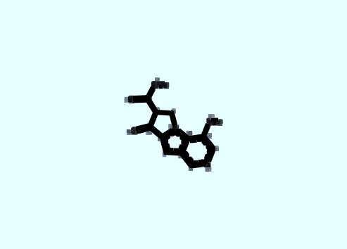 COC(=O)C1Cn2c(cc3cncc(SC)c32)C1=O